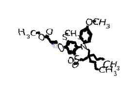 CCCCC1(CCCC)CN(c2ccc(OC)cc2)c2cc(SC)c(O/C=C/C(=O)OCC)cc2S(=O)(=O)C1